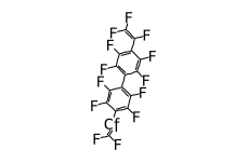 F[C](F)=[Cf][c]1c(F)c(F)c(-c2c(F)c(F)c(C(F)=C(F)F)c(F)c2F)c(F)c1F